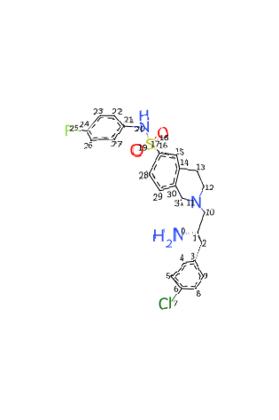 N[C@@H](Cc1ccc(Cl)cc1)CN1CCc2cc(S(=O)(=O)Nc3ccc(F)cc3)ccc2C1